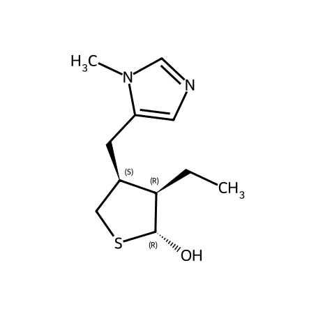 CC[C@@H]1[C@H](Cc2cncn2C)CS[C@H]1O